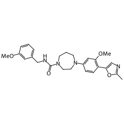 COc1cccc(CNC(=O)N2CCCN(c3ccc(-c4cnc(C)o4)c(OC)c3)CC2)c1